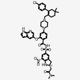 CN(C)C(=O)C[C@@H]1Cc2cc(S(=O)(=O)NC(=O)c3ccc(N4CCN(CC5=C(c6ccc(Cl)cc6)CC(C)(C)CC5)CC4)cc3Oc3cnc4[nH]ccc4c3)cc([N+](=O)[O-])c2N1